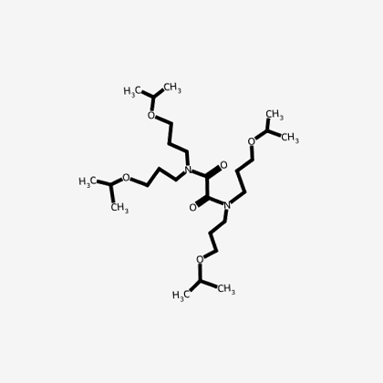 CC(C)OCCCN(CCCOC(C)C)C(=O)C(=O)N(CCCOC(C)C)CCCOC(C)C